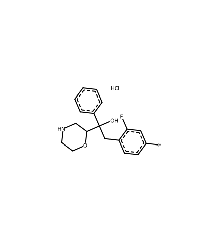 Cl.OC(Cc1ccc(F)cc1F)(c1ccccc1)C1CNCCO1